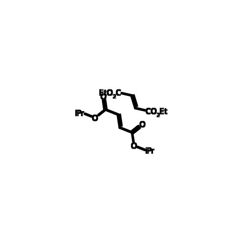 CC(C)OC(=O)C=CC(=O)OC(C)C.CCOC(=O)C=CC(=O)OCC